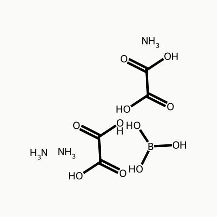 N.N.N.O=C(O)C(=O)O.O=C(O)C(=O)O.OB(O)O